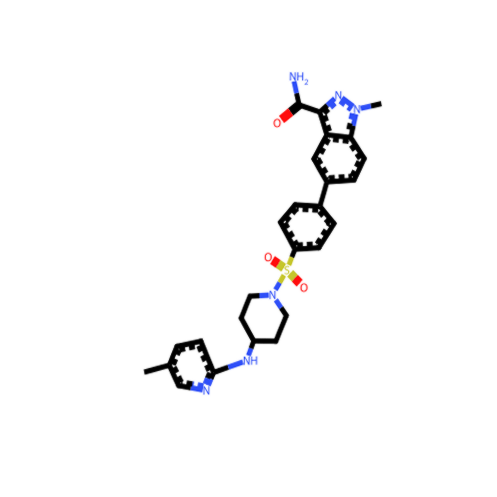 Cc1ccc(NC2CCN(S(=O)(=O)c3ccc(-c4ccc5c(c4)c(C(N)=O)nn5C)cc3)CC2)nc1